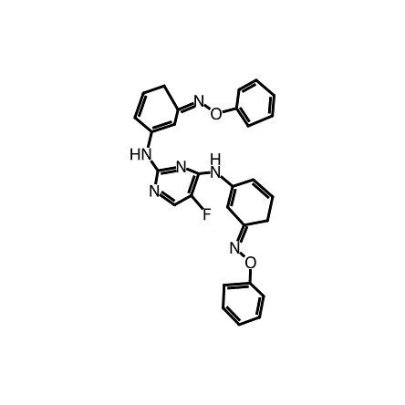 Fc1cnc(NC2=CC(=NOc3ccccc3)CC=C2)nc1NC1=CC(=NOc2ccccc2)CC=C1